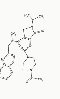 CC(=O)N1CCN(c2nc3c(c(N(C)Cc4ccc5ccccc5n4)n2)CN(C(C)C)C3=O)CC1